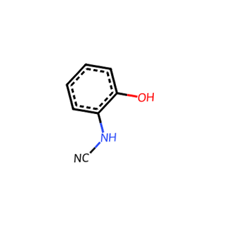 N#CNc1ccccc1O